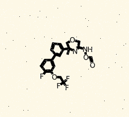 CC1(c2cccc(-c3ccc(F)c(OCC(F)(F)F)c3)c2)COCC(NOC=O)=N1